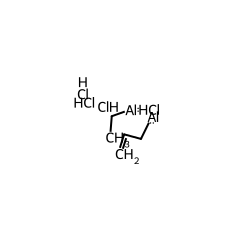 C=C[CH2][Al].C[CH2][Al].Cl.Cl.Cl.Cl